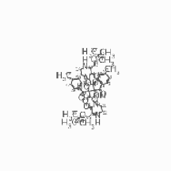 Cc1ccc(C(=O)C(O)(C(=O)ON2CCN[C@@H](COC(C)(C)C)C2=O)C(O)(C(=O)ON2CCN[C@@H](COC(C)(C)C)C2=O)C(=O)c2ccc(C)cc2)cc1